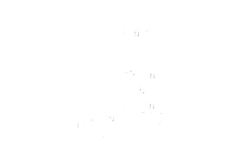 C=CC(=O)N1CC(CCn2c(=O)ccc3cnc(Nc4ccc(N5CCCCC5)cc4)nc32)C1